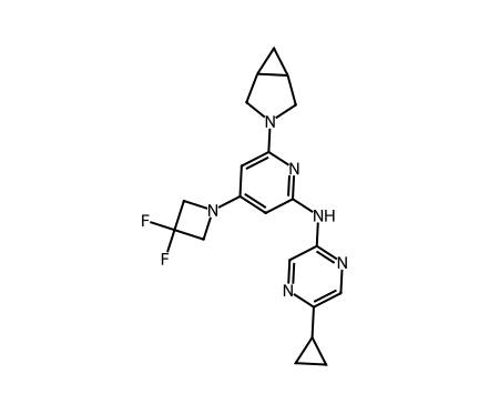 FC1(F)CN(c2cc(Nc3cnc(C4CC4)cn3)nc(N3CC4CC4C3)c2)C1